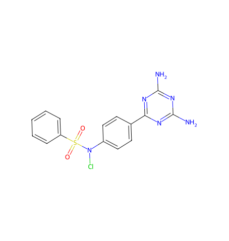 Nc1nc(N)nc(-c2ccc(N(Cl)S(=O)(=O)c3ccccc3)cc2)n1